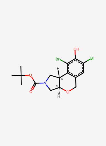 CC(C)(C)OC(=O)N1C[C@@H]2OCc3cc(Br)c(O)c(Br)c3[C@H]2C1